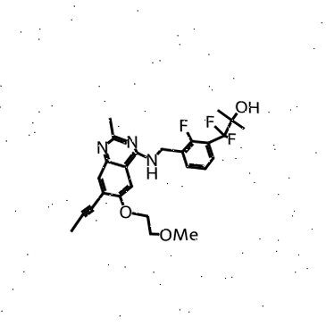 CC#Cc1cc2nc(C)nc(NCc3cccc(C(F)(F)C(C)(C)O)c3F)c2cc1OCCOC